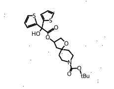 CC(C)(C)OC(=O)N1CCC2(CC1)CC(OC(=O)C(O)(c1cccs1)c1cccs1)CO2